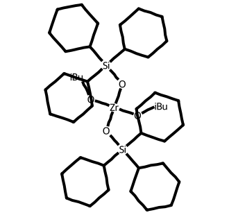 CCC(C)[O][Zr]([O]C(C)CC)([O][Si](C1CCCCC1)(C1CCCCC1)C1CCCCC1)[O][Si](C1CCCCC1)(C1CCCCC1)C1CCCCC1